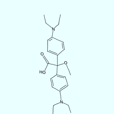 CCN(CC)c1ccc(C(OC)(C(=O)O)c2ccc(N(CC)CC)cc2)cc1